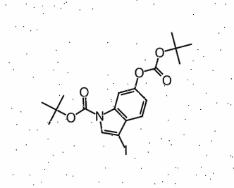 CC(C)(C)OC(=O)Oc1ccc2c(I)cn(C(=O)OC(C)(C)C)c2c1